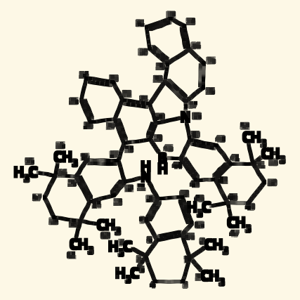 CC1(C)CCC(C)(C)c2cc(Nc3cc4c(cc3-c3c5c6c(c7ccccc37)c3c7ccccc7ccc3n6-c3cc6c(cc3B5)C(C)(C)CCC6(C)C)C(C)(C)CCC4(C)C)ccc21